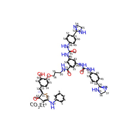 CCOC(=O)C1=C(Nc2ccccc2)S/C(=C\c2ccc(OCCCNC(=O)c3cc(NC(=O)Nc4ccc(C5=NCCN5)cc4)cc(NC(=O)Nc4ccc(C5=NCCN5)cc4)c3)c(O)c2)C1=O